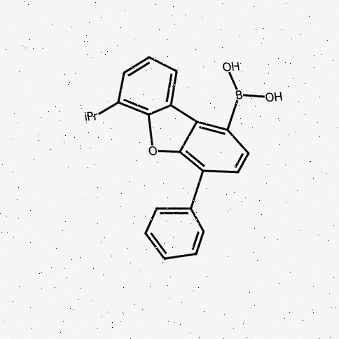 CC(C)c1cccc2c1oc1c(-c3ccccc3)ccc(B(O)O)c12